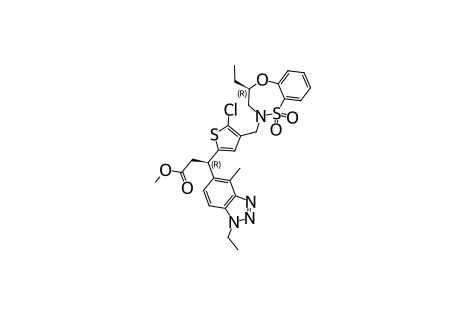 CC[C@@H]1CN(Cc2cc([C@H](CC(=O)OC)c3ccc4c(nnn4CC)c3C)sc2Cl)S(=O)(=O)c2ccccc2O1